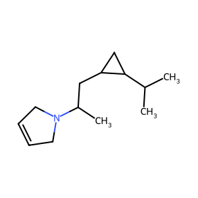 CC(C)C1CC1CC(C)N1CC=CC1